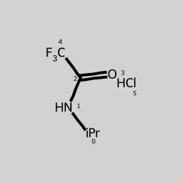 CC(C)NC(=O)C(F)(F)F.Cl